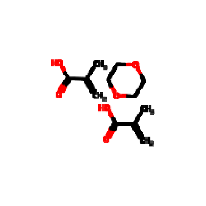 C1COCCO1.C=C(C)C(=O)O.C=C(C)C(=O)O